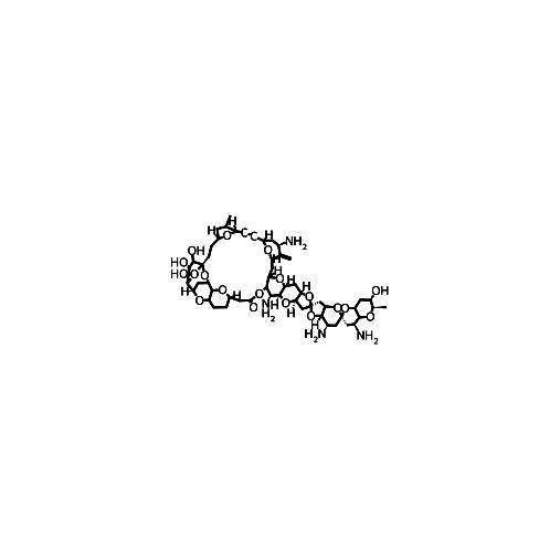 C=C1[C@H](N)C[C@@H]2CC[C@@H]3O[C@@H](CC[C@@]45OC6C[C@@H](OC7CC[C@H](CC(=O)OC8[C@H](C[C@H]1O2)O[C@H]1C[C@H]2O[C@]9(CC%10O[C@]%11(C[C@H](N)C%12O[C@H](C)[C@H](O)CC%12O%11)C[C@H](N)[C@@H]%10O9)C[C@H]2O[C@H]1[C@@H]8N)OC76)C(O4)C(O)(O)C5O)CC3C